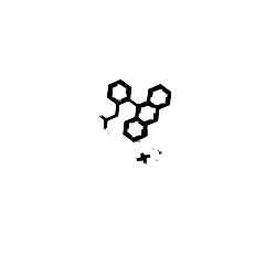 CCCC(S)Cc1ccccc1-c1c2ccccc2cc2ccccc12.O=S(=O)(O)C(F)(F)F